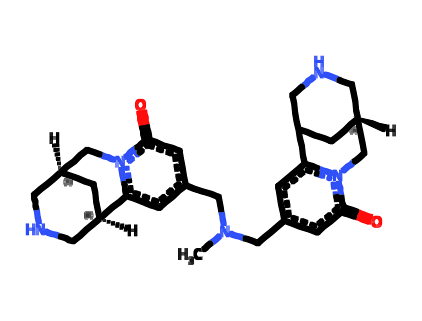 CN(Cc1cc2n(c(=O)c1)C[C@H]1CNCC2C1)Cc1cc2n(c(=O)c1)C[C@@H]1CNC[C@H]2C1